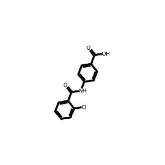 O=C(O)c1ccc(NC(=O)c2ccccc2Cl)cc1